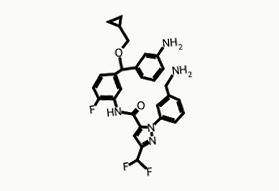 NCc1cccc(-n2nc(C(F)F)cc2C(=O)Nc2cc(C(OCC3CC3)c3cccc(N)c3)ccc2F)c1